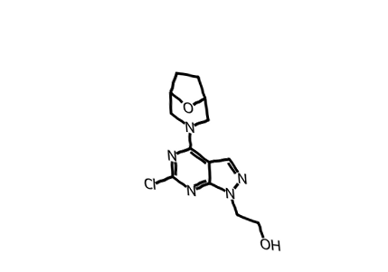 OCCn1ncc2c(N3CC4CCC(C3)O4)nc(Cl)nc21